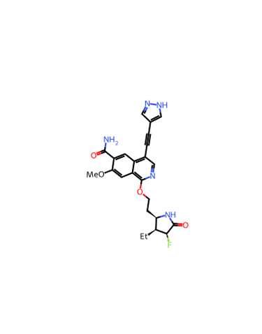 CC[C@@H]1[C@H](F)C(=O)N[C@@H]1CCOc1ncc(C#Cc2cn[nH]c2)c2cc(C(N)=O)c(OC)cc12